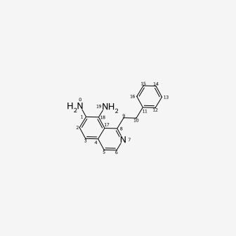 Nc1ccc2ccnc(CCc3ccccc3)c2c1N